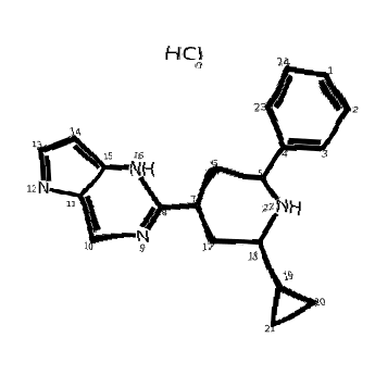 Cl.c1ccc(C2CC(c3ncc4nccc-4[nH]3)CC(C3CC3)N2)cc1